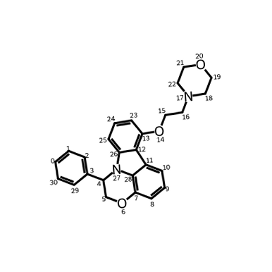 c1ccc(C2COc3cccc4c5c(OCCN6CCOCC6)cccc5n2c34)cc1